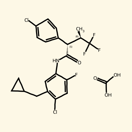 C[C@H]([C@H](C(=O)Nc1cc(CC2CC2)c(Cl)cc1F)c1ccc(Cl)cc1)C(F)(F)F.O=C(O)O